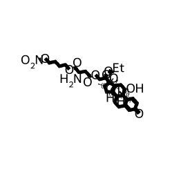 CCC(=O)O[C@@]1(C(=O)COC(=O)CC(N)C(=O)OCCCCO[N+](=O)[O-])[C@@H](C)C[C@H]2[C@@H]3CCC4=CC(=O)C=C[C@]4(C)[C@@]3(Cl)[C@@H](O)C[C@@]21C